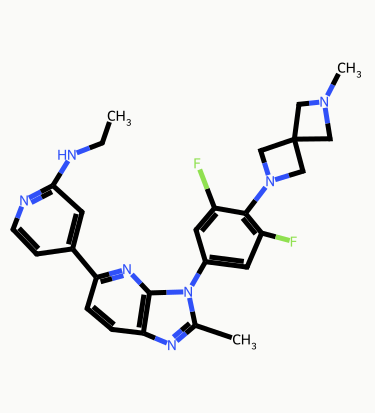 CCNc1cc(-c2ccc3nc(C)n(-c4cc(F)c(N5CC6(CN(C)C6)C5)c(F)c4)c3n2)ccn1